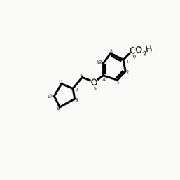 O=C(O)c1ccc(OCC2CCCC2)cc1